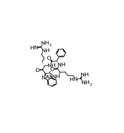 CC(=O)N[C@H](CCCNC(=N)N)C(=O)N[C@H](C(=O)N[C@@H](CCCNC(=N)N)C(=O)c1nc2ccccc2s1)c1ccccc1